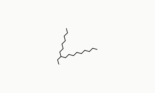 [CH2]CC(CCCCCCC)CCCCCCCCC